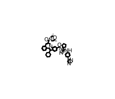 C[C@@H]1CN(C(=O)C2=Cc3ccccc3-c3c(C4CCCCC4)c4ccc(C(=O)NC5(C(=O)Nc6ccc(-n7cncn7)cc6)CCCC5)cc4n3C2)C[C@H](C)O1